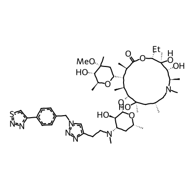 CC[C@H]1OC(=O)[C@H](C)[C@@H](C2C[C@@](C)(OC)[C@@H](O)[C@H](C)O2)[C@H](C)[C@@H](O[C@@H]2O[C@H](C)C[C@H](N(C)CCc3cn(Cc4ccc(-c5csnn5)cc4)nn3)[C@H]2O)[C@](C)(O)C[C@@H](C)CN(C)[C@H](C)[C@@H](O)[C@]1(C)O